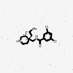 CC(C)(C)CC[C@@]1(CNC(=O)c2cc(Cl)cc(Cl)c2)CCNC[C@@H]1F